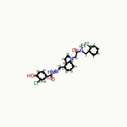 CCN(Cc1ccccc1F)C(=O)Cn1ccc2c(/C=N/NC(=O)c3ccc(O)c(Cl)c3)cccc21